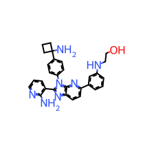 Nc1ncccc1-c1nc2ccc(-c3cccc(NCCO)c3)nc2n1-c1ccc(C2(N)CCC2)cc1